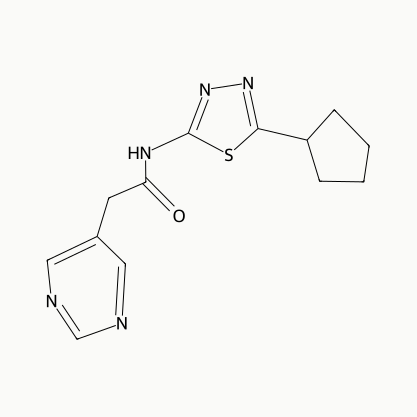 O=C(Cc1cncnc1)Nc1nnc(C2CCCC2)s1